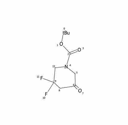 CC(C)(C)OC(=O)N1CC(=O)CC(F)(F)C1